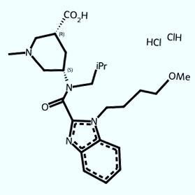 COCCCCn1c(C(=O)N(CC(C)C)[C@H]2C[C@@H](C(=O)O)CN(C)C2)nc2ccccc21.Cl.Cl